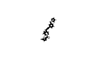 Cc1ccc(C(=O)N2CC/C(=C\C#Cc3cccc(CN4CCCC4)c3)C(C)(C)C2)o1